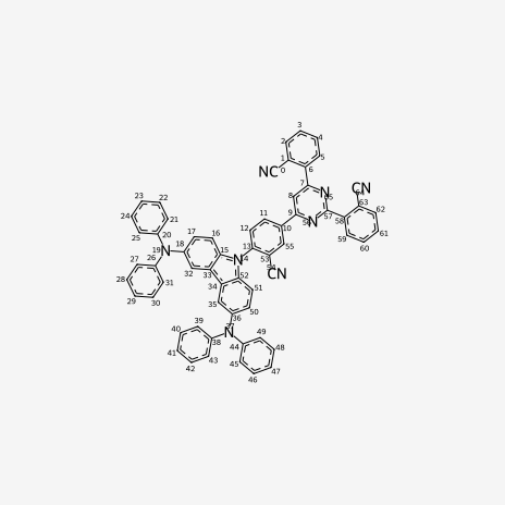 N#Cc1ccccc1-c1cc(-c2ccc(-n3c4ccc(N(c5ccccc5)c5ccccc5)cc4c4cc(N(c5ccccc5)c5ccccc5)ccc43)c(C#N)c2)nc(-c2ccccc2C#N)n1